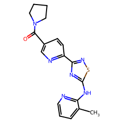 Cc1cccnc1Nc1nc(-c2ccc(C(=O)N3CCCC3)cn2)ns1